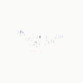 CC(NC(=O)CCn1cnnn1)[C@H]1C(=O)N2C(C(=O)O)=C(S[C@@H]3CN[C@H](C(=O)N4CC[C@@H](N)C4)C3)[C@H](C)[C@H]12